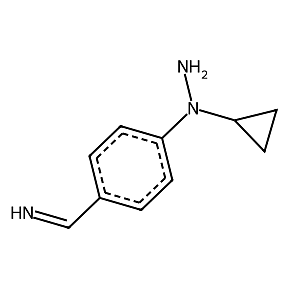 N=Cc1ccc(N(N)C2CC2)cc1